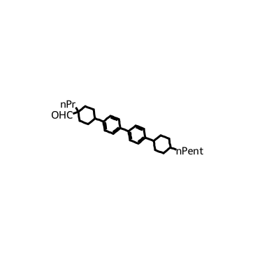 CCCCCC1CCC(c2ccc(-c3ccc(C4CCC(C=O)(CCC)CC4)cc3)cc2)CC1